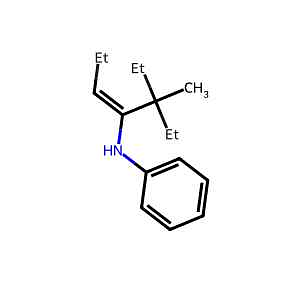 CC/C=C(/Nc1ccccc1)C(C)(CC)CC